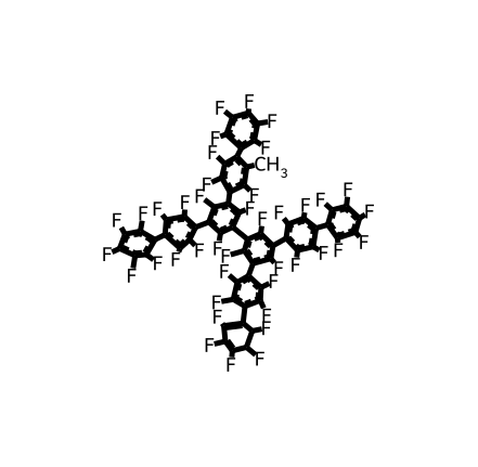 Cc1c(F)c(-c2c(F)c(-c3c(F)c(F)c(-c4c(F)c(F)c(F)c(F)c4F)c(F)c3F)c(F)c(-c3c(F)c(-c4c(F)c(F)c(C5=C(F)C(F)=C(F)C(F)C5F)c(F)c4F)c(F)c(-c4c(F)c(F)c(-c5c(F)c(F)c(F)c(F)c5F)c(F)c4F)c3F)c2F)c(F)c(F)c1-c1c(F)c(F)c(F)c(F)c1F